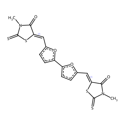 CN1C(=O)/C(=C/c2ccc(-c3ccc(/C=C4\SC(=S)N(C)C4=O)o3)o2)SC1=S